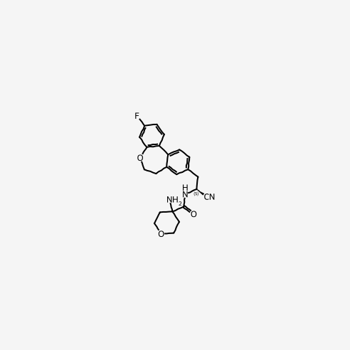 N#C[C@H](Cc1ccc2c(c1)CCOc1cc(F)ccc1-2)NC(=O)C1(N)CCOCC1